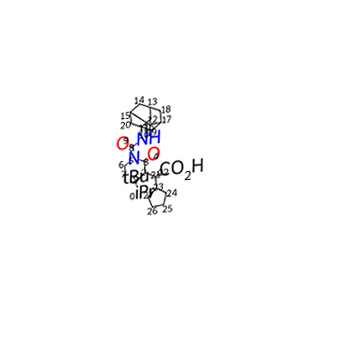 CC(C)C[C@@H](C(=O)N(CC(C)(C)C)C(=O)NC12CC3CC(CC(C3)C1)C2)[C@@H](C(=O)O)C1CCCC1